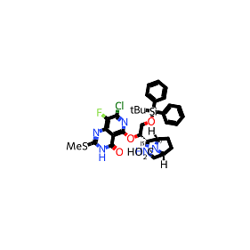 CSc1nc2c(F)c(Cl)nc(OC(CO[Si](c3ccccc3)(c3ccccc3)C(C)(C)C)[C@H]3NC[C@H]4CC[C@@H]3N4C(=O)O)c2c(=O)[nH]1